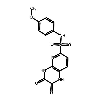 O=c1[nH]c2ccc(S(=O)(=O)Nc3ccc(OC(F)(F)F)cc3)nc2[nH]c1=O